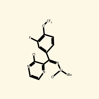 CC(C)(C)[S+]([O-])N=C(c1ccc(OC(F)(F)F)c(F)c1)c1nccnc1Cl